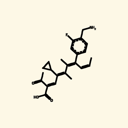 C\C=C/C(=C(C)\C(C)=C(\C=C(/C(C)=O)C(=O)O)C1CC1)c1ccc(CN)c(F)c1